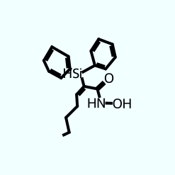 CCCCC=C(C(=O)NO)[SiH](c1ccccc1)c1ccccc1